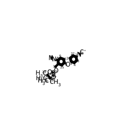 [C-]#[N+]c1ccc(Oc2ccc([N+]#N)c(COB3OC(C)(C)C(C)(C)O3)c2)cc1